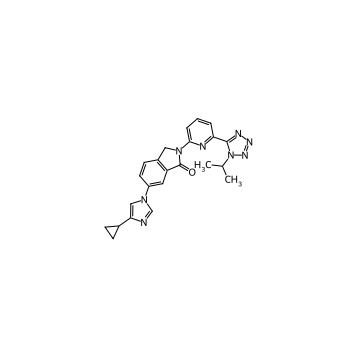 CC(C)n1nnnc1-c1cccc(N2Cc3ccc(-n4cnc(C5CC5)c4)cc3C2=O)n1